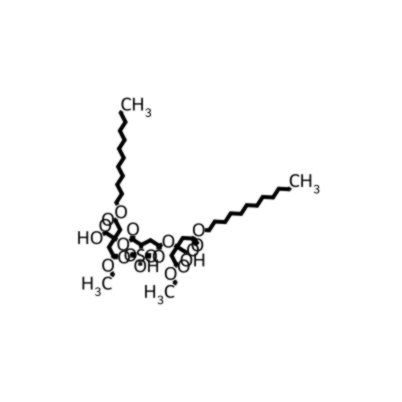 CCCCCCCCCCCCOC(=O)CC(CC(=O)OCC)(OC(=O)CC(C(=O)OC(CC(=O)OCC)(CC(=O)OCCCCCCCCCCCC)C(=O)O)S(=O)(=O)O)C(=O)O